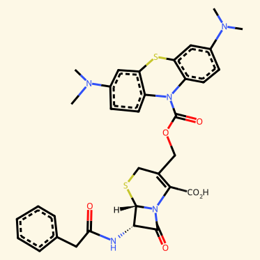 CN(C)c1ccc2c(c1)Sc1cc(N(C)C)ccc1N2C(=O)OCC1=C(C(=O)O)N2C(=O)[C@H](NC(=O)Cc3ccccc3)[C@@H]2SC1